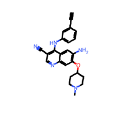 C#Cc1cccc(Nc2c(C#N)cnc3cc(OC4CCN(C)CC4)c(N)cc23)c1